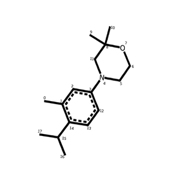 Cc1cc(N2CCOC(C)(C)C2)ccc1C(C)C